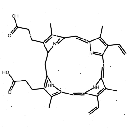 C=CC1=C(C)/C2=C/C3=NC(Cc4[nH]c(c(C)c4CCC(=O)O)/C=c4\[nH]/c(c(C)c4C=C)=C\C1=N2)C(CCC(=O)O)=C3C